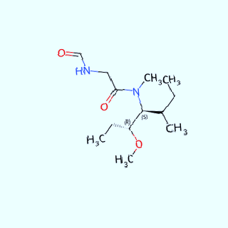 CCC(C)[C@@H]([C@@H](CC)OC)N(C)C(=O)CNC=O